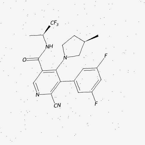 C[C@@H]1CCN(c2c(C(=O)N[C@@H](C)C(F)(F)F)cnc(C#N)c2-c2cc(F)cc(F)c2)C1